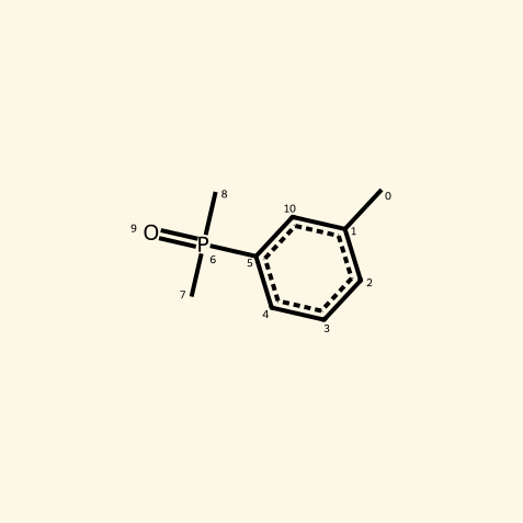 Cc1cccc(P(C)(C)=O)c1